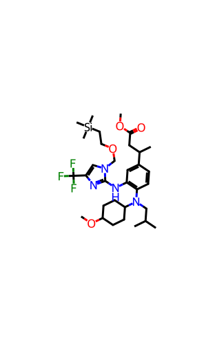 COC(=O)CC(C)c1ccc(N(CC(C)C)C2CCC(OC)CC2)c(Nc2nc(C(F)(F)F)cn2COCC[Si](C)(C)C)c1